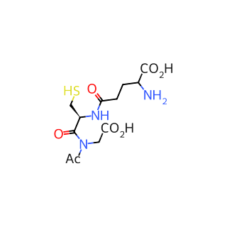 CC(=O)N(CC(=O)O)C(=O)[C@@H](CS)NC(=O)CCC(N)C(=O)O